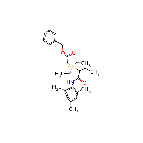 CCC(C(=O)Nc1c(C)cc(C)cc1C)[PH](CC)(CC)CC(=O)OCc1ccccc1